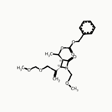 C=C(COCOC)[C@@H]1[C@@H](C(C)OC(=O)OCc2ccccc2)C(=O)N1COC